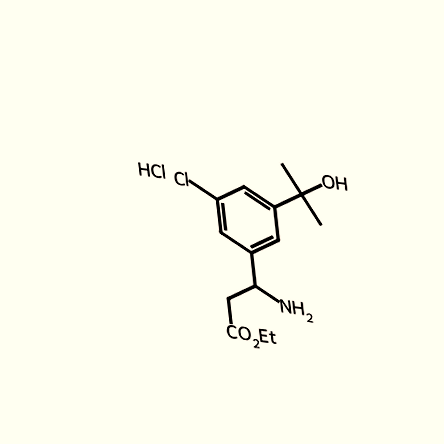 CCOC(=O)CC(N)c1cc(Cl)cc(C(C)(C)O)c1.Cl